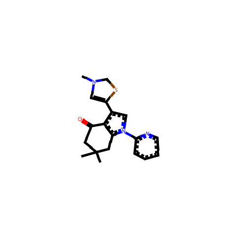 CN1C=C(c2cn(-c3ccccn3)c3c2C(=O)CC(C)(C)C3)SC1